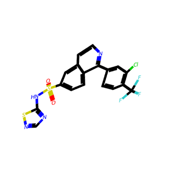 O=S(=O)(Nc1ncns1)c1ccc2c(-c3ccc(C(F)(F)F)c(Cl)c3)nccc2c1